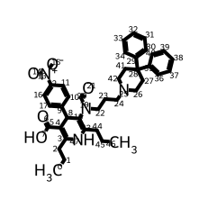 CCCC1=C(C(=O)O)C(c2ccc([N+](=O)[O-])cc2)C(N(C=O)CCCN2CCC(c3ccccc3)(c3ccccc3)CC2)=C(CCC)N1